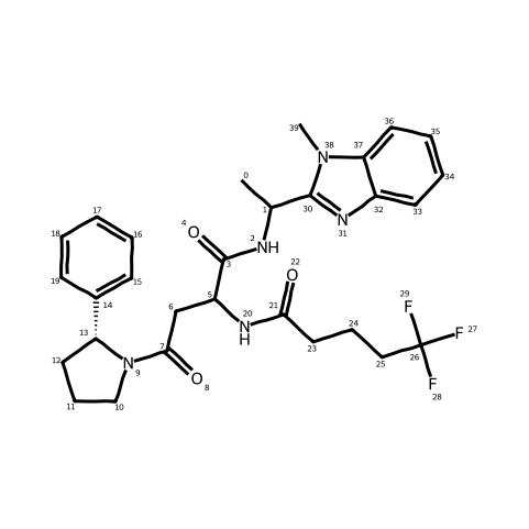 CC(NC(=O)C(CC(=O)N1CCC[C@@H]1c1ccccc1)NC(=O)CCCC(F)(F)F)c1nc2ccccc2n1C